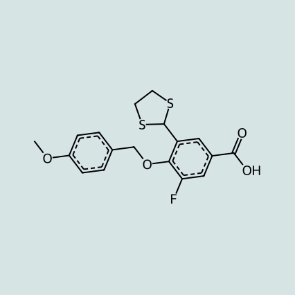 COc1ccc(COc2c(F)cc(C(=O)O)cc2C2SCCS2)cc1